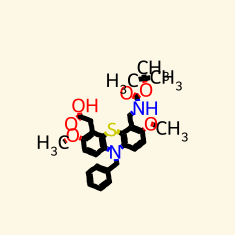 COc1ccc2c(c1CNC(=O)OC(C)(C)C)Sc1c(ccc(OC)c1CC(=O)O)N2Cc1ccccc1